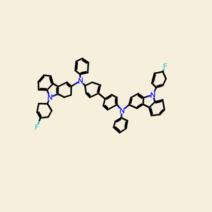 FC1=CCC(n2c3c(c4ccccc42)C=C(N(c2ccccc2)C2C=CC(c4ccc(N(c5ccccc5)c5ccc6c(c5)c5ccccc5n6C5=CCC(F)C=C5)cc4)=CC2)CC3)CC1